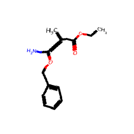 CCOC(=O)C(C)=C(N)OCc1ccccc1